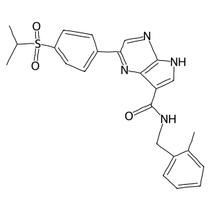 Cc1ccccc1CNC(=O)c1c[nH]c2ncc(-c3ccc(S(=O)(=O)C(C)C)cc3)nc12